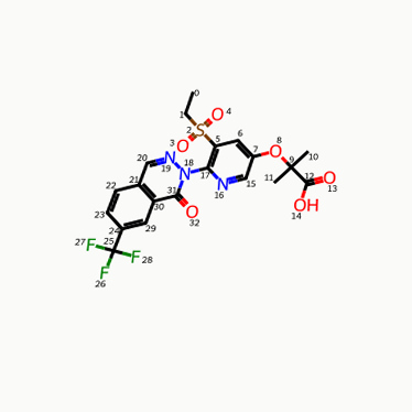 CCS(=O)(=O)c1cc(OC(C)(C)C(=O)O)cnc1-n1ncc2ccc(C(F)(F)F)cc2c1=O